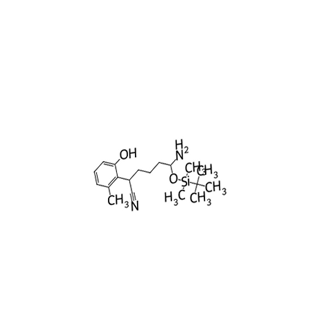 Cc1cccc(O)c1C(C#N)CCCC(N)O[Si](C)(C)C(C)(C)C